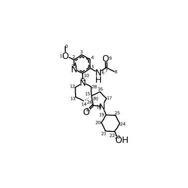 COc1ccc(NC(C)=O)c(N2CCC[C@@]3(CCN(C4CCC(O)CC4)C3=O)C2)n1